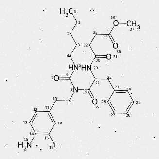 CCCCCNC(=O)N(CCc1ccc(N)c(I)c1)C(=O)C(Cc1ccccc1)NC(=O)CCC(=O)OC